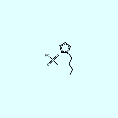 CCCCn1ccnc1.CS(=O)(=O)O